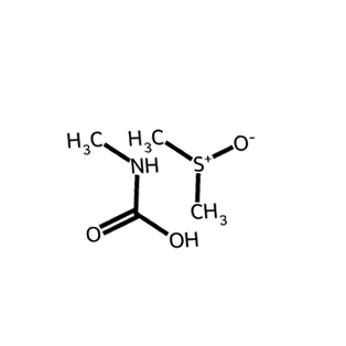 CNC(=O)O.C[S+](C)[O-]